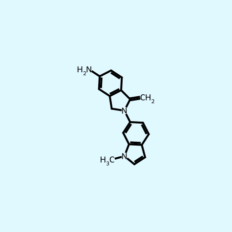 C=C1c2ccc(N)cc2CN1c1ccc2ccn(C)c2c1